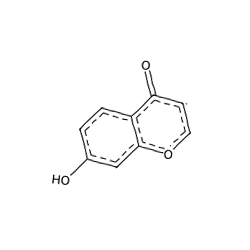 O=c1[c]coc2cc(O)ccc12